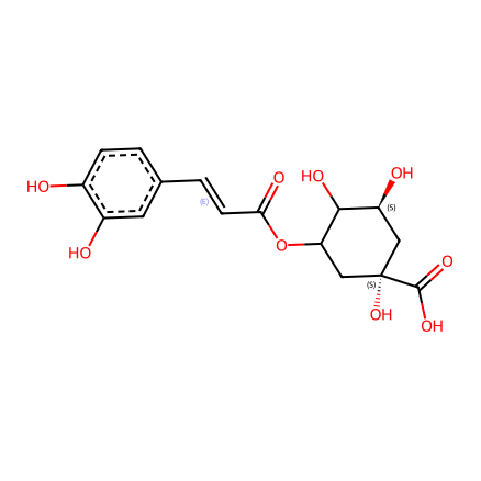 O=C(/C=C/c1ccc(O)c(O)c1)OC1C[C@](O)(C(=O)O)C[C@H](O)C1O